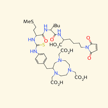 CCC(C)C(NC(=O)C(CCSC)NC(=S)Nc1ccc(CC2CN(CC(=O)O)CCN(CC(=O)O)CCN2CC(=O)O)cc1)C(=O)NC(CCCCN1C(=O)C=CC1=O)C(=O)O